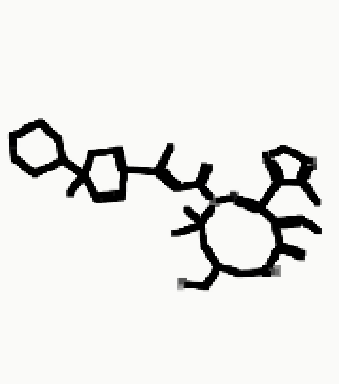 C=C1NCC(CF)CC(C)(C)N(C(=C)/C=C(\C)C2=CCC(C)(C3CCCCC3)C=C2)/N=C(C2=NCN=C2C)\C1=C\C